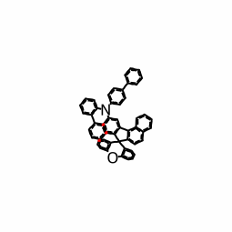 c1ccc(-c2ccc(N(c3ccc4c(c3)-c3c(ccc5ccccc35)C43c4ccccc4Oc4ccccc43)c3ccccc3-c3ccccc3)cc2)cc1